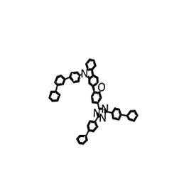 c1ccc(-c2ccc(-c3nc(-c4ccc(-c5ccccc5)cc4)nc(-c4ccc5c(c4)oc4cc6c7ccccc7n(-c7ccc(-c8cccc(-c9ccccc9)c8)cc7)c6cc45)n3)cc2)cc1